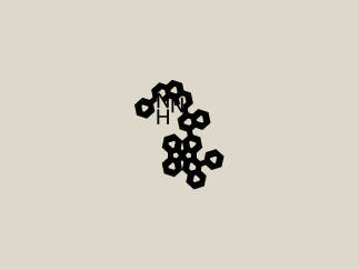 C1=CC(c2ccccc2)Nc2c1ccc1ccc(-c3ccc(-c4ccc5c(c4)C4(c6ccccc6-c6ccccc64)c4cc6ccccc6c(-c6ccccc6)c4-5)c4ccccc34)nc21